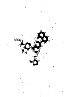 CCCCOC(=O)N1CCN(c2nc(OC[C@@H]3CCCN3C)nc3cc(-c4cccc5cccc(Cl)c45)cnc23)C[C@@H]1CC#N